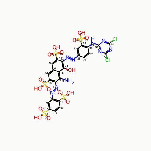 Nc1c(/N=N/c2cc(S(=O)(=O)O)ccc2S(=O)(=O)O)c(S(=O)(=O)O)cc2cc(S(=O)(=O)O)c(N=Nc3ccc(Nc4nc(Cl)nc(Cl)n4)c(S(=O)(=O)O)c3)c(O)c12